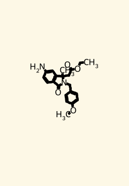 CCOC(=O)CC1(C)c2cc(N)ccc2C(=O)N1Cc1ccc(OC)cc1